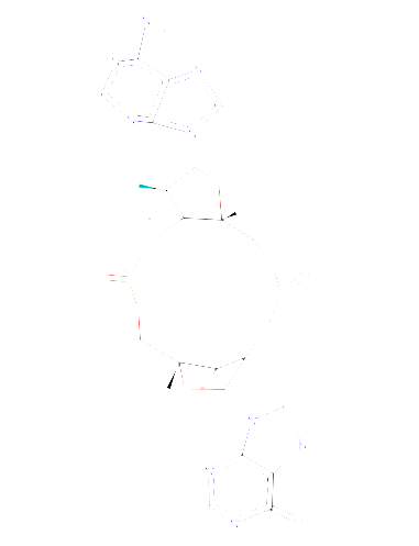 Nc1ncnc2c1ncn2[C@@H]1O[C@@H]2COP(=O)(S)O[C@@H]3[C@@H](F)[C@@H](COP(=O)(S)O[C@H]2[C@H]1F)O[C@H]3N1CNc2c1nc[nH]c2=O